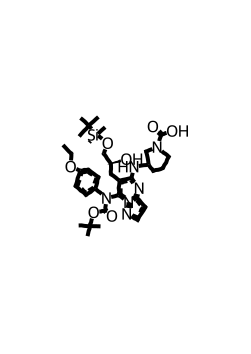 CCOc1ccc(N(C(=O)OC(C)(C)C)c2c(C[C@H](O)CO[Si](C)(C)C(C)(C)C)c(NC3CCCN(C(=O)O)C3)nc3ccnn23)cc1